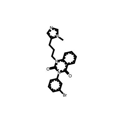 Cn1cncc1CCCn1c(=O)n(-c2cccc(Br)c2)c(=O)c2ccccc21